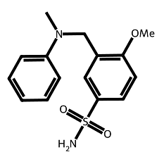 COc1ccc(S(N)(=O)=O)cc1CN(C)c1ccccc1